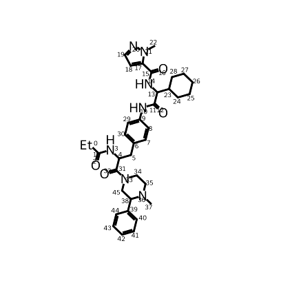 CCC(=O)NC(Cc1ccc(NC(=O)C(NC(=O)c2ccnn2C)C2CCCCC2)cc1)C(=O)N1CCN(C)C(c2ccccc2)C1